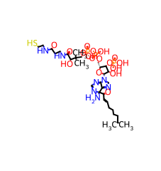 CC(C)CCCCC=CC(=O)C1(N)N=CN=C2C1=NCN2[C@@H]1O[C@H](COP(=O)(O)OP(=O)(O)OCC(C)(C)[C@@H](O)C(=O)NCCC(=O)NCCS)[C@@H](OP(=O)(O)O)[C@H]1O